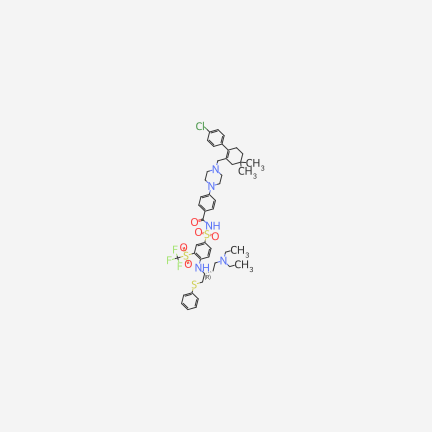 CCN(CC)CC[C@H](CSc1ccccc1)Nc1ccc(S(=O)(=O)NC(=O)c2ccc(N3CCN(CC4=C(c5ccc(Cl)cc5)CCC(C)(C)C4)CC3)cc2)cc1S(=O)(=O)C(F)(F)F